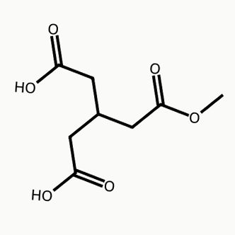 COC(=O)CC(CC(=O)O)CC(=O)O